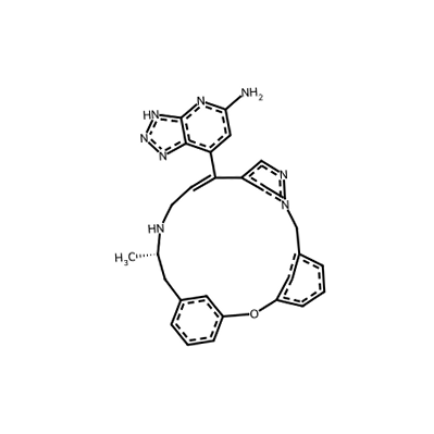 C[C@H]1Cc2cccc(c2)Oc2cccc(c2)Cn2cc(cn2)/C(c2cc(N)nc3[nH]nnc23)=C\CN1